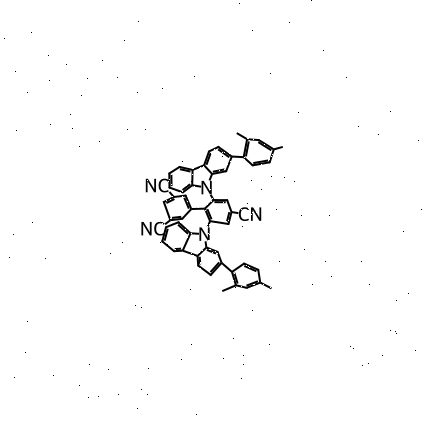 Cc1ccc(-c2ccc3c4ccccc4n(-c4cc(C#N)cc(-n5c6ccccc6c6ccc(-c7ccc(C)cc7C)cc65)c4-c4cc(C#N)cc(C#N)c4)c3c2)c(C)c1